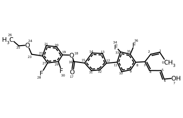 C\C=C/C(=C\C=C\O)c1ccc(-c2ccc(C(=O)Oc3ccc(COCC)c(F)c3F)cc2)c(F)c1F